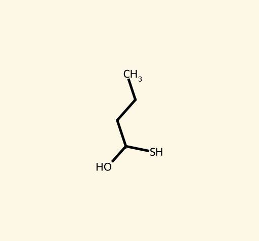 CCC[C](O)S